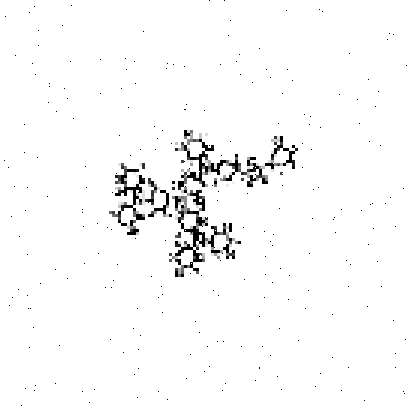 c1ccc(-c2ccc(-c3ccc(N(c4ccccc4)c4ccc(N(c5ccc(N(c6ccccc6)c6ccccc6)cc5)c5ccc(N(c6ccccc6)c6ccccc6)cc5)cc4)cc3)s2)cc1